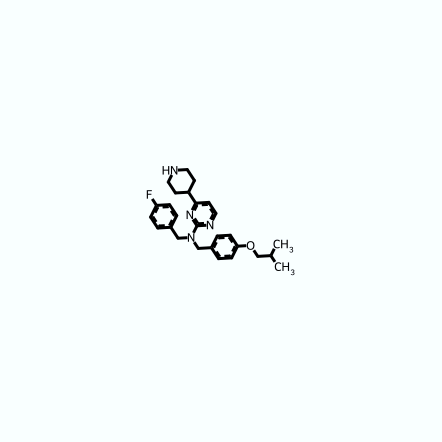 CC(C)COc1ccc(CN(Cc2ccc(F)cc2)c2nccc(C3CCNCC3)n2)cc1